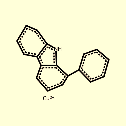 [Cu+2].c1ccc(-c2cccc3c2[nH]c2ccccc23)cc1